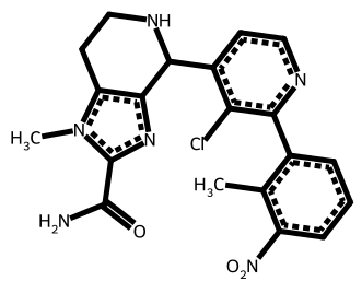 Cc1c(-c2nccc(C3NCCc4c3nc(C(N)=O)n4C)c2Cl)cccc1[N+](=O)[O-]